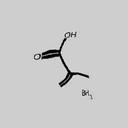 B.C=C(C)C(=O)O